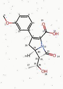 COc1cccc(C2=C(C(=O)O)N3C(=O)[C@H]([C@@H](C)O)[C@H]3C2)c1